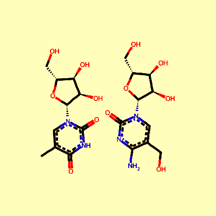 Cc1cn([C@@H]2O[C@H](CO)[C@@H](O)[C@H]2O)c(=O)[nH]c1=O.Nc1nc(=O)n([C@@H]2O[C@H](CO)[C@@H](O)[C@H]2O)cc1CO